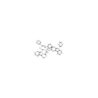 c1ccc(-c2cc(-c3ccccc3)nc(-n3c4ccccc4c4cccc(-c5nnc(-c6ccc7c(c6)c6ccccc6n7-c6ccccc6)o5)c43)n2)cc1